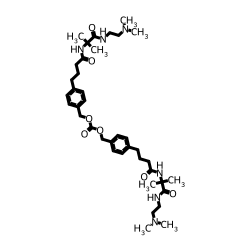 CN(C)CCNC(=O)C(C)(C)NC(=O)CCCc1ccc(COC(=O)OCc2ccc(CCCC(=O)NC(C)(C)C(=O)NCCN(C)C)cc2)cc1